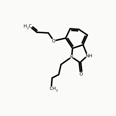 C=CCOc1cccc2[nH]c(=O)n(CCCC)c12